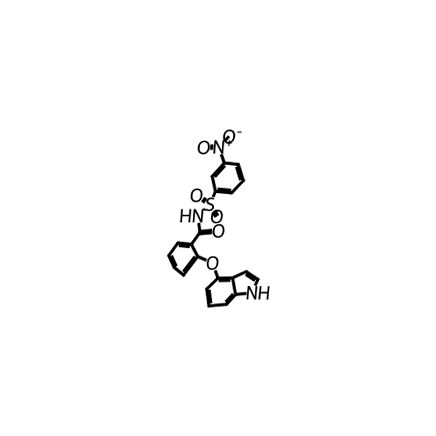 O=C(NS(=O)(=O)c1cccc([N+](=O)[O-])c1)c1ccccc1Oc1cccc2[nH]ccc12